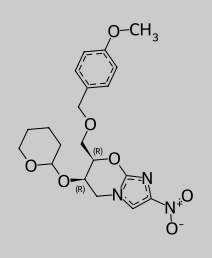 COc1ccc(COC[C@H]2Oc3nc([N+](=O)[O-])cn3C[C@H]2OC2CCCCO2)cc1